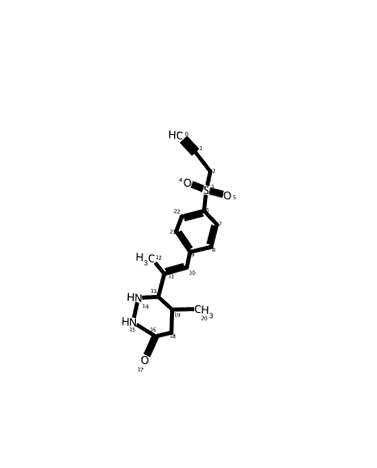 C#CCS(=O)(=O)c1ccc(/C=C(\C)C2NNC(=O)CC2C)cc1